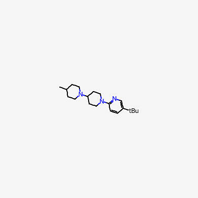 CC1CCN(C2CCN(c3ccc(C(C)(C)C)cn3)CC2)CC1